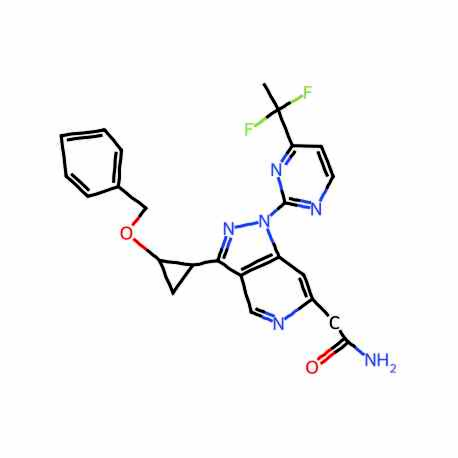 CC(F)(F)c1ccnc(-n2nc(C3CC3OCc3ccccc3)c3cnc(CC(N)=O)cc32)n1